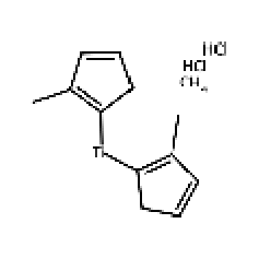 C.CC1=[C]([Ti][C]2=C(C)C=CC2)CC=C1.Cl.Cl